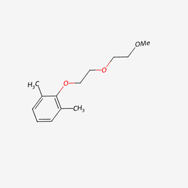 COCCOCCOc1c(C)cccc1C